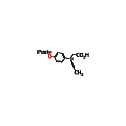 CC#C[C@H](CC(=O)O)c1ccc(O[C@@H](C)CCC)cc1